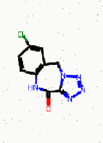 O=C1Nc2ccc(Cl)cc2Cn2nnnc21